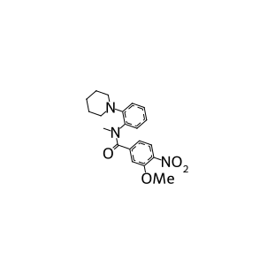 COc1cc(C(=O)N(C)c2ccccc2N2CCCCC2)ccc1[N+](=O)[O-]